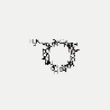 C/C=C/C[C@@H](C)[C@@H](O)[C@H]1C(=O)N[C@@H](CC)C(=O)N(C)CC(=O)N(C)[C@@H]([C@@H](C)OCCCCN)C(=O)N[C@@H](C(C)C)C(=O)N(C)[C@@H](CC(C)C)C(=O)N[C@@H](C)C(=O)N[C@H](C)C(=O)N(C)[C@@H](CC(C)C)C(=O)N(C)[C@H](CC(C)C)C(=O)N(C)[C@@H](C(C)C)C(=O)N1C